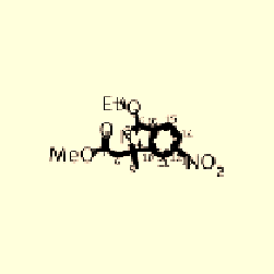 CCOC1=NC(C)(CC(=O)OC)c2cc([N+](=O)[O-])ccc21